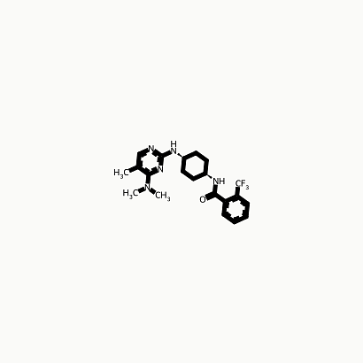 Cc1cnc(N[C@H]2CC[C@@H](NC(=O)c3ccccc3C(F)(F)F)CC2)nc1N(C)C